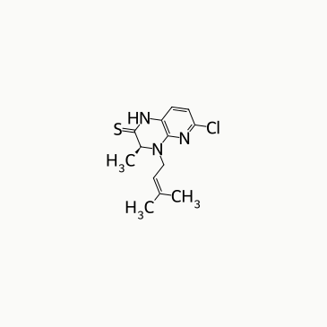 CC(C)=CCN1c2nc(Cl)ccc2NC(=S)[C@@H]1C